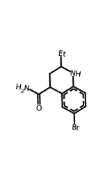 CCC1CC(C(N)=O)c2cc(Br)ccc2N1